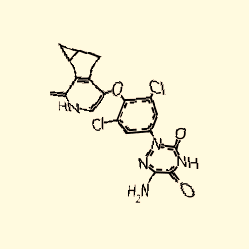 C=C1NC=C(Oc2c(Cl)cc(-n3nc(N)c(=O)[nH]c3=O)cc2Cl)C2=C1C1CC1C2